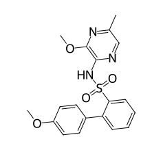 COc1ccc(-c2ccccc2S(=O)(=O)Nc2ncc(C)nc2OC)cc1